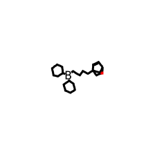 C1=CC2(CCCCB(C3CCCCC3)C3CCCCC3)CCC1C2